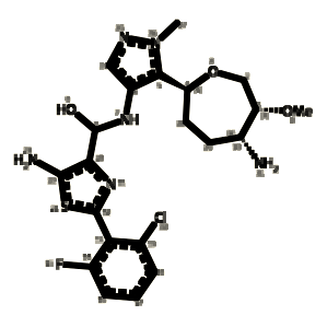 CO[C@H]1CO[C@H](c2c(NC(O)c3nc(-c4c(F)cccc4Cl)sc3N)cnn2C)CC[C@H]1N